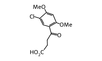 COc1cc(OC)c(C(=O)CCC(=O)O)cc1Cl